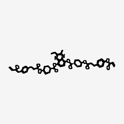 C=CC(=O)Cc1ccc(CCC(=O)O[C@H]2CC[C@H](C(=O)Oc3ccc(OC(=O)[C@H]4CC[C@H](OC(=O)CCc5ccc(OC(=O)C=C)cc5)CC4)c4nc(C)c(CC)nc34)CC2)cc1